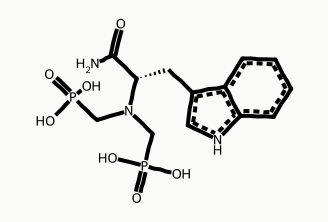 NC(=O)[C@H](Cc1c[nH]c2ccccc12)N(CP(=O)(O)O)CP(=O)(O)O